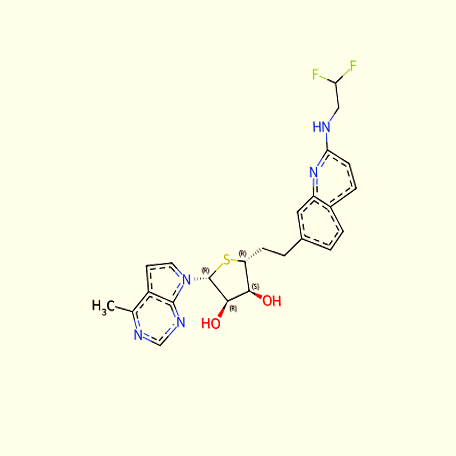 Cc1ncnc2c1ccn2[C@@H]1S[C@H](CCc2ccc3ccc(NCC(F)F)nc3c2)[C@@H](O)[C@H]1O